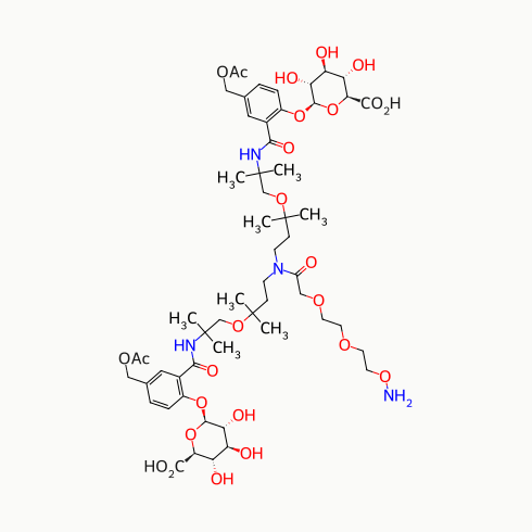 CC(=O)OCc1ccc(O[C@@H]2O[C@H](C(=O)O)[C@@H](O)[C@H](O)[C@H]2O)c(C(=O)NC(C)(C)COC(C)(C)CCN(CCC(C)(C)OCC(C)(C)NC(=O)c2cc(COC(C)=O)ccc2O[C@@H]2O[C@H](C(=O)O)[C@@H](O)[C@H](O)[C@H]2O)C(=O)COCCOCCON)c1